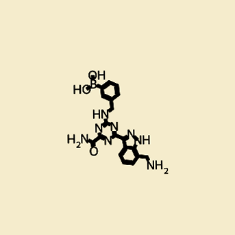 NCc1cccc2c(-c3nc(NCc4cccc(B(O)O)c4)nc(C(N)=O)n3)n[nH]c12